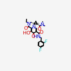 CCN1C[C@@]2(C[C@@H]2C(=O)N(C)C)n2cc(C(=O)NCc3ccc(F)cc3F)c(=O)c(O)c2C1=O